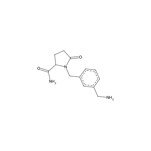 NCc1cccc(CN2C(=O)C[CH]C2C(N)=O)c1